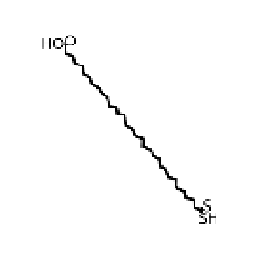 O=C(O)CCCCCCCCCCCCCCCCCCCCCCCCCCCCCCCC(=S)S